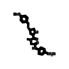 CCOC(=O)c1ccc(NC(=O)CN(C)C(=O)C2CC(SCc3ccc(OC)cc3)CN2)cc1